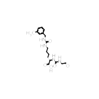 Cc1cccc(CNC(=O)NCCCC[C@H](NC(=O)NCC=O)C(=O)O)c1